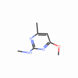 CNc1nc(C)cc(OC)n1